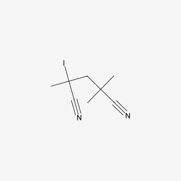 CC(C)(C#N)CC(C)(I)C#N